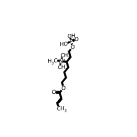 CC=CC(=O)OCCCCC(CCOP(=O)(O)O)[N+](C)(C)C